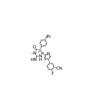 CC(C)c1ccc([C@@H]2C(=O)N(C)C(=N)N[C@]2(C)c2ncc(-c3ccc(F)c(C#N)c3)s2)cc1